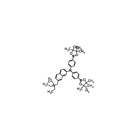 CC[N+](CC)(CC)Cc1ccc2ccc(N(c3ccc(B4OC(C)(C)C(C)(C)O4)cc3)c3ccc(B4OC(C)(C)C(C)(C)O4)cc3)cc2c1